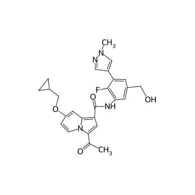 CC(=O)c1cc(C(=O)Nc2cc(CO)cc(-c3cnn(C)c3)c2F)c2cc(OCC3CC3)ccn12